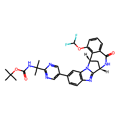 CC(C)(C)OC(=O)NC(C)(C)c1ncc(-c2ccc3nc4n(c3c2)[C@H]2C[C@@H]4NC(=O)c3cccc(OC(F)F)c32)cn1